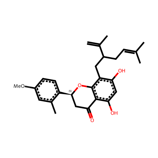 C=C(C)C(CC=C(C)C)Cc1c(O)cc(O)c2c1O[C@H](c1ccc(OC)cc1C)CC2=O